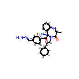 CC1=Nc2ccccc2C(N)(C(=O)c2ccc(C=NN)cc2)N(CCc2ccccc2)C1=O